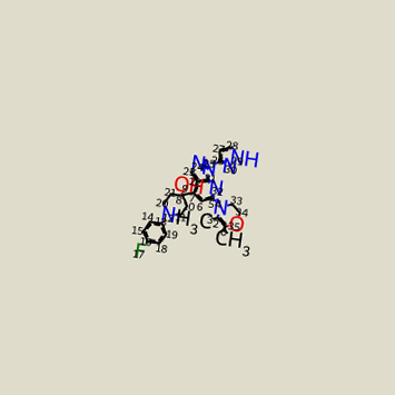 CC1=C(C)N(c2cc(C3(O)CCN(c4ccc(F)cc4)CC3)c3cnn(-c4cc[nH]n4)c3n2)CCO1